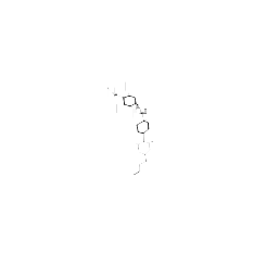 C/C=C\CCC1CC(F)C(c2ccc(C(F)(F)Oc3cc(F)c(C#N)c(F)c3)cc2)C(F)C1